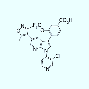 Cc1noc(C)c1-c1cnc2c(c1)c(-c1ccc(C(=O)O)cc1OC(F)(F)F)cn2-c1ccncc1Cl